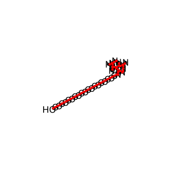 CN(C)CCN(CCN(C)C)CCN(CCN(C)C)CCN(CCN(CCN(C)C)CCN(C)CCOCCOCCOCCOCCOCCOCCOCCOCCOCCOCCOCCOCCOCCOCCOCCOCCOCCOCCOCCO)CCN(CCN(C)C)CCN(CCN(C)C)CCN(C)C